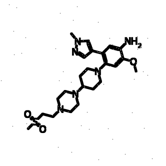 COc1cc(N2CCC(N3CCN(CCS(C)(=O)=O)CC3)CC2)c(-c2cnn(C)c2)cc1N